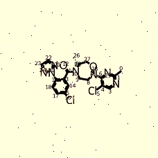 Cc1ncc(Cl)c(N2CCN(C(=O)c3cc(Cl)ccc3-n3nccn3)[C@H](C)CO2)n1